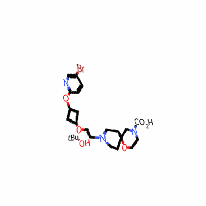 CC(C)(C)O.O=C(O)N1CCOC2(CCN(CCOC3CC(Oc4ccc(Br)cn4)C3)CC2)C1